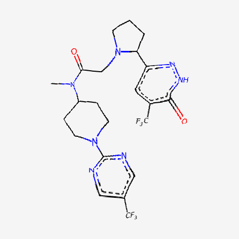 CN(C(=O)CN1CCCC1c1cc(C(F)(F)F)c(=O)[nH]n1)C1CCN(c2ncc(C(F)(F)F)cn2)CC1